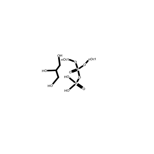 CCCCCCCCOP(=O)(OCCCCCCCC)OP(=O)(O)O.OCC(O)CO